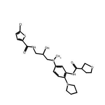 CN(CC(O)CNC(=O)c1ccc(Cl)s1)c1ccc(N2CCCC2)c(NC(=O)C2CCOC2)c1